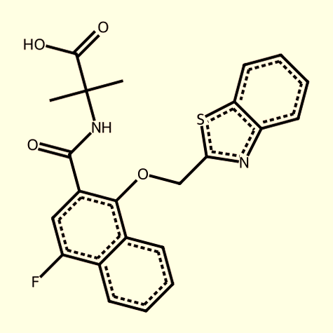 CC(C)(NC(=O)c1cc(F)c2ccccc2c1OCc1nc2ccccc2s1)C(=O)O